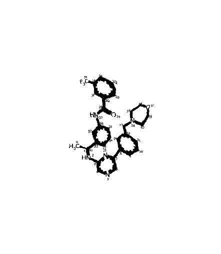 C[C@H](Nc1cncc(-c2cccc(CN3CCOCC3)c2)n1)c1cccc(NC(=O)c2cccc(C(F)(F)F)c2)c1